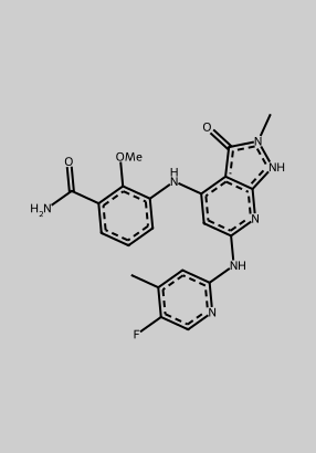 COc1c(Nc2cc(Nc3cc(C)c(F)cn3)nc3[nH]n(C)c(=O)c23)cccc1C(N)=O